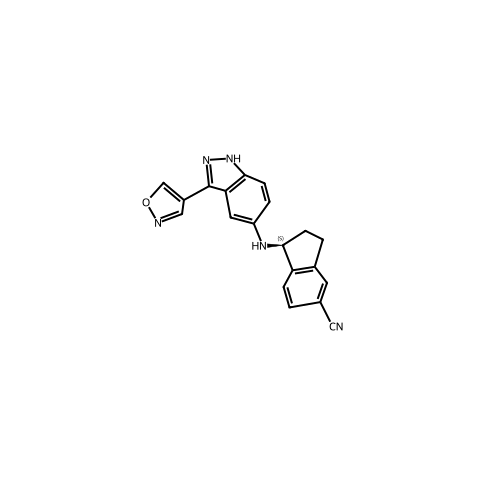 N#Cc1ccc2c(c1)CC[C@@H]2Nc1ccc2[nH]nc(-c3cnoc3)c2c1